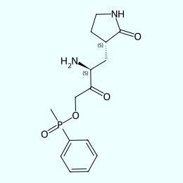 CP(=O)(OCC(=O)[C@@H](N)C[C@@H]1CCNC1=O)c1ccccc1